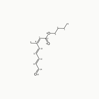 CCCCOC(=O)C=C(C)C=CC=CC=O